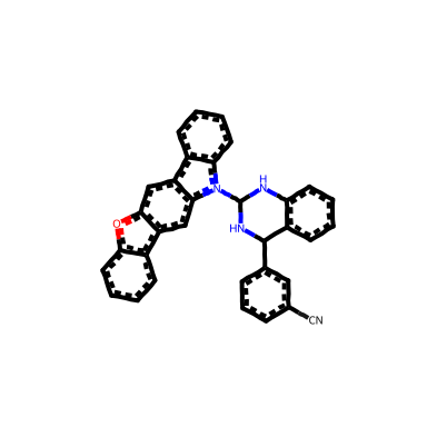 N#Cc1cccc(C2NC(n3c4ccccc4c4cc5oc6ccccc6c5cc43)Nc3ccccc32)c1